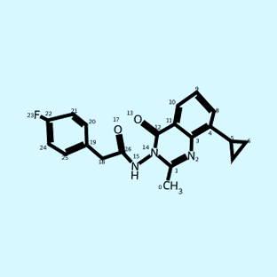 Cc1nc2c(C3CC3)cccc2c(=O)n1NC(=O)Cc1ccc(F)cc1